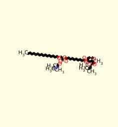 CCCCCCCCCCCCCCCCCOCC(COOCC[N+](C)(C)C)OC(=O)CCCCCCCCC(=O)O[C@@H]1CC[C@]2(CO2)[C@@H]([C@@]2(C)O[C@@H]2CC=C(C)C)[C@@H]1OC